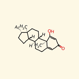 [CH2]C(=O)[C@H]1CC[C@H]2[C@@H]3CCC4=CC(=O)C=C(O)[C@]4(C)[C@H]3CC[C@]12C